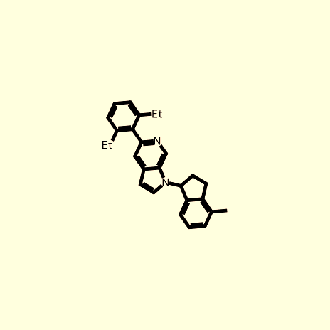 CCc1cccc(CC)c1-c1cc2ccn(C3CCc4c(C)cccc43)c2cn1